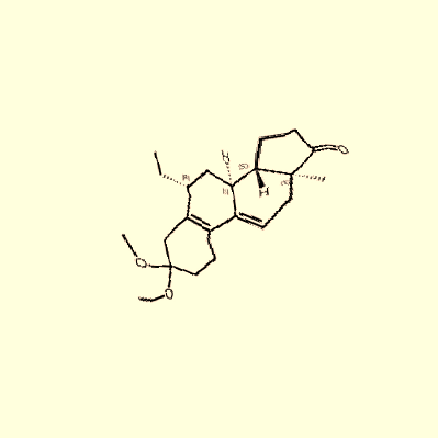 CC[C@@H]1C[C@@H]2C(=CC[C@]3(C)C(=O)CC[C@@H]23)C2=C1CC(OC)(OC)CC2